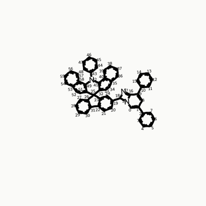 C1=C(c2ccccc2)C=C(c2ccccc2)C2=NC(c3ccc4c(c3)C3(c5ccccc5-4)c4ccc5ccccc5c4N(c4ccccc4)c4c3ccc3ccccc43)N12